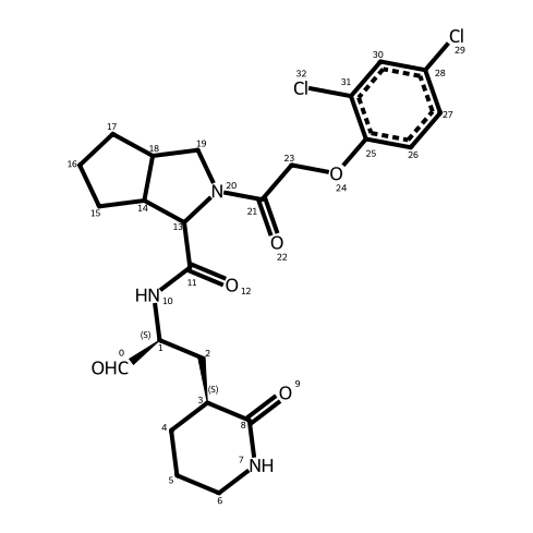 O=C[C@H](C[C@@H]1CCCNC1=O)NC(=O)C1C2CCCC2CN1C(=O)COc1ccc(Cl)cc1Cl